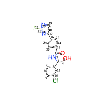 O=C(N[C@H](CO)c1cccc(Cl)c1)c1ccc(-c2ccnc(F)n2)cc1